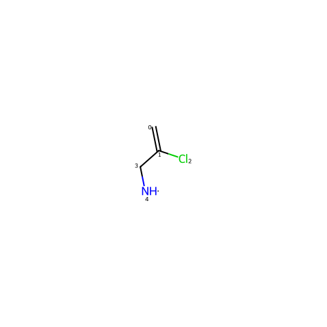 C=C(Cl)C[NH]